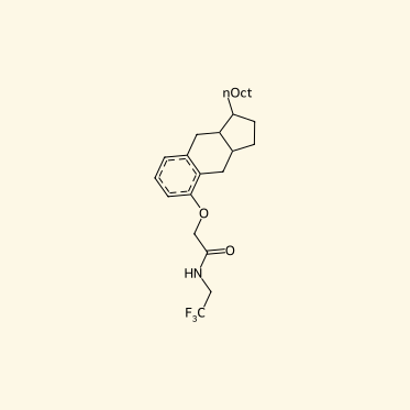 CCCCCCCCC1CCC2Cc3c(cccc3OCC(=O)NCC(F)(F)F)CC12